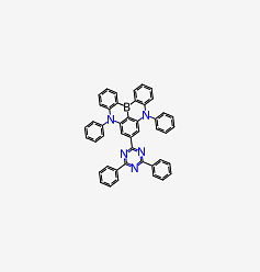 c1ccc(-c2nc(-c3ccccc3)nc(-c3cc4c5c(c3)N(c3ccccc3)c3ccccc3B5c3ccccc3N4c3ccccc3)n2)cc1